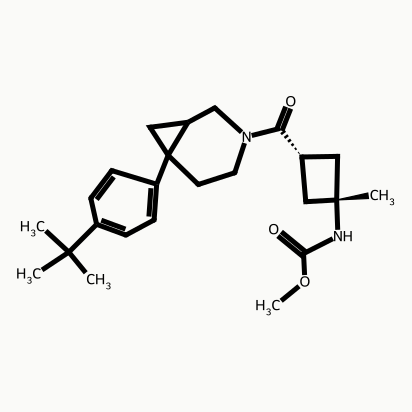 COC(=O)N[C@]1(C)C[C@H](C(=O)N2CCC3(c4ccc(C(C)(C)C)cc4)CC3C2)C1